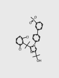 CC(C)(O)c1cn(-c2ccc(-c3cccc(S(C)(=O)=O)c3)cc2)c(C(C)(C)c2c(Cl)cccc2Cl)n1